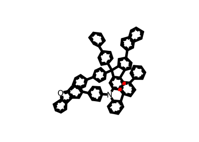 c1ccc(-c2ccc(-c3ccccc3N(c3ccc(-c4ccc5oc6ccccc6c5c4)cc3)c3ccc4c(c3)C(c3ccc(-c5ccccc5)cc3)(c3ccc(-c5ccccc5)cc3)c3cc(-c5ccc6ccccc6c5)ccc3-4)cc2)cc1